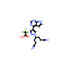 N#CCCC(CCC#N)n1cc(-c2ncnc3[nH]ccc23)cn1.O=C(O)C(F)(F)F